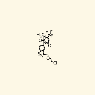 Cn1c(C(F)(F)F)cc(=O)n(-c2ccc3snc(COCCCl)c3c2)c1=O